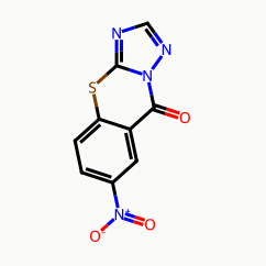 O=c1c2cc([N+](=O)[O-])ccc2sc2ncnn12